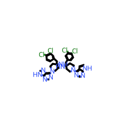 Clc1ccc(CC2(NNC3(Cc4ccc(Cl)c(Cl)c4)CCN(c4ncnc5[nH]cnc45)CC3)CCN(c3ncnc4[nH]ccc34)CC2)cc1Cl